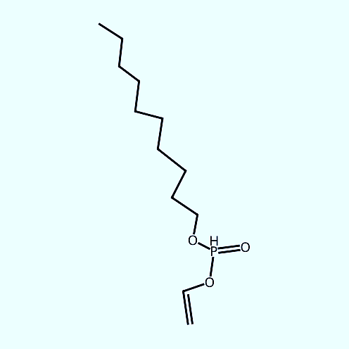 C=CO[PH](=O)OCCCCCCCCCC